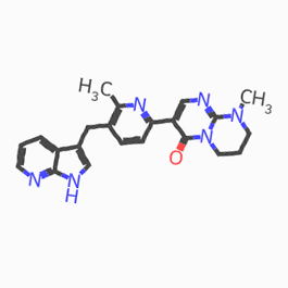 Cc1nc(-c2cnc3n(c2=O)CCCN3C)ccc1Cc1c[nH]c2ncccc12